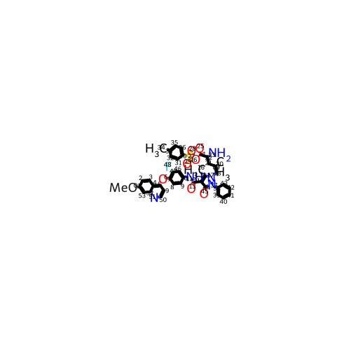 COc1ccc2c(Oc3ccc(NC(=O)c4c(C)n(C[C@@H](C)CC(N)C(=O)OS(=O)(=O)c5ccc(C)cc5)n(-c5ccccc5)c4=O)cc3F)ccnc2c1